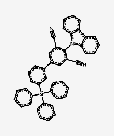 N#Cc1cc(-c2cccc([Si](c3ccccc3)(c3ccccc3)c3ccccc3)c2)cc(C#N)c1-n1c2ccccc2c2ccccc21